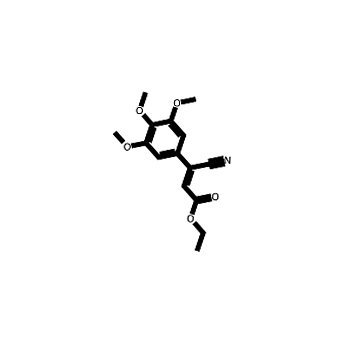 CCOC(=O)C=C(C#N)c1cc(OC)c(OC)c(OC)c1